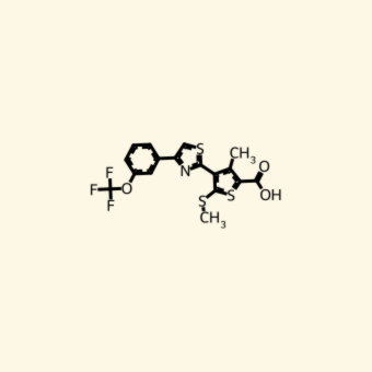 CSc1sc(C(=O)O)c(C)c1-c1nc(-c2cccc(OC(F)(F)F)c2)cs1